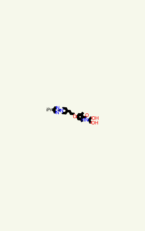 Cc1cc(OCCCC2CCN(c3ncc(C(C)C)cn3)CC2)cc(C)c1C(=O)NC(CO)CO